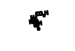 O=C(O)CCC/C=C\C[C@@H]1[C@H](CNC(=O)CNC(=O)CCCC2CCCCC2)[C@H]2CC[C@@H]1O2